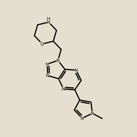 Cn1cc(-c2cnc3c(nnn3CC3CNCCO3)n2)cn1